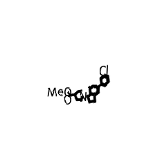 COC(=O)C1CCN(C2CCc3cc(-c4cccc(Cl)c4)ccc32)CC1